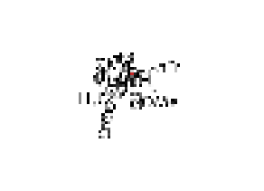 CCC/C=C/C=C/C(=O)O[C@H]1/C(=C/C(=O)OC)C[C@@H](C[C@@H](OCc2ccc(OC)cc2)[C@@H](C)OCOCc2ccccc2)O[C@@]1(OC)C(C)(C)/C=C/CO